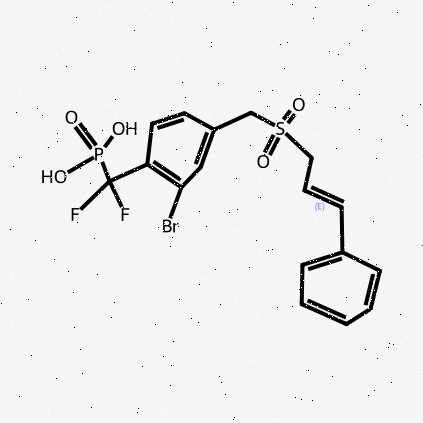 O=P(O)(O)C(F)(F)c1ccc(CS(=O)(=O)C/C=C/c2ccccc2)cc1Br